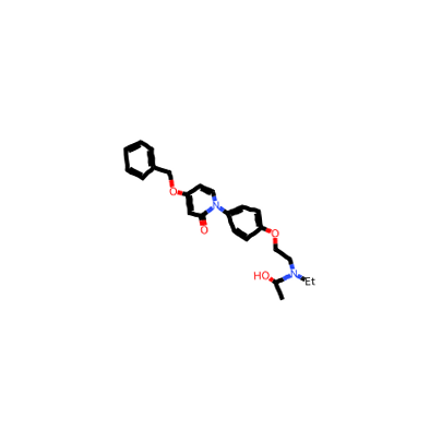 CCN(CCOc1ccc(-n2ccc(OCc3ccccc3)cc2=O)cc1)C(C)O